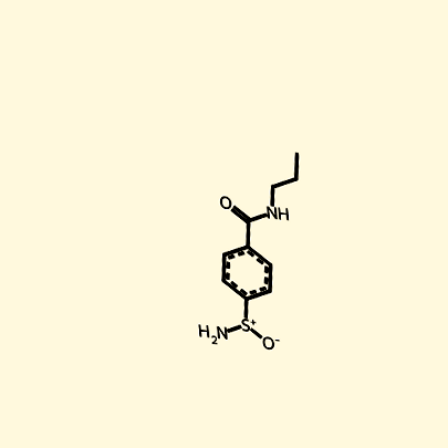 CCCNC(=O)c1ccc([S+](N)[O-])cc1